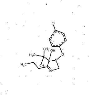 CCCC1=NCN(Oc2ccc(Cl)cc2)[N+]1(O)C(C)(C)C